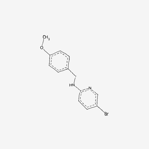 COc1ccc(CNc2ccc(Br)cn2)cc1